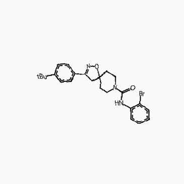 CC(C)(C)c1ccc(C2=NOC3(CCN(C(=O)Nc4ccccc4Br)CC3)C2)cc1